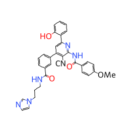 COc1ccc(C(=O)Nc2nc(-c3ccccc3O)cc(-c3cccc(C(=O)NCCCn4ccnc4)c3)c2C#N)cc1